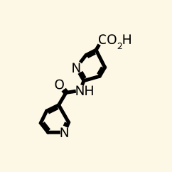 O=C(O)c1ccc(NC(=O)c2cccnc2)nc1